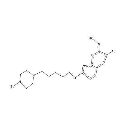 CCN1CCN(CCCCCOc2ccc3cc(C(C)=O)c(=NO)oc3c2)CC1